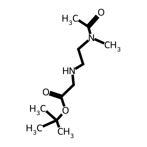 CC(=O)N(C)CCNCC(=O)OC(C)(C)C